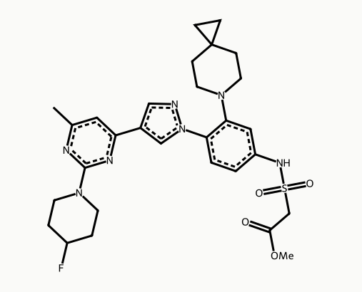 COC(=O)CS(=O)(=O)Nc1ccc(-n2cc(-c3cc(C)nc(N4CCC(F)CC4)n3)cn2)c(N2CCC3(CC2)CC3)c1